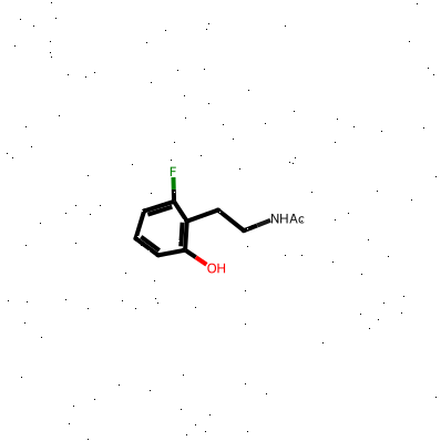 CC(=O)NCCc1c(O)cccc1F